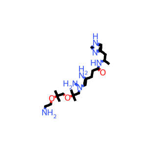 CC(Cc1c[nH]cn1)NC(=O)CC/C(N)=C/N(N)CC(C)(C)OCC(C)(C)OCCN